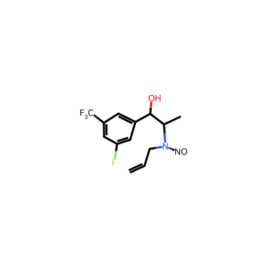 C=CCN(N=O)C(C)C(O)c1cc(F)cc(C(F)(F)F)c1